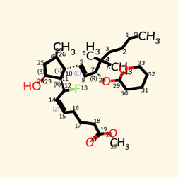 CCCCC(C)(C)[C@@H](/C=C/[C@@H]1[C@@H](C(F)/C=C\CCCC(=O)OC)[C@@H](O)C[C@H]1C)OC1CCCCO1